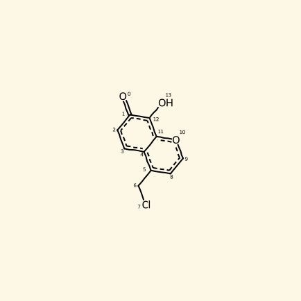 O=c1ccc2c(CCl)ccoc-2c1O